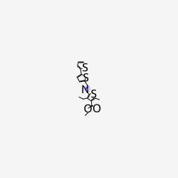 CCOC(=O)c1c(C)sc(/N=C/c2ccc(-c3cccs3)s2)c1CC